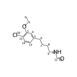 CCOc1cc(CCCCNC=O)ccc1Cl